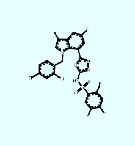 Cc1cn(Cc2ccc(Cl)cc2Cl)c2c(-c3nnc(NS(=O)(=O)c4cc(F)c(F)cc4F)o3)cc(F)cc12